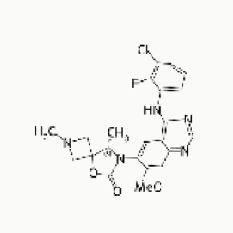 COc1cc2ncnc(Nc3cccc(Cl)c3F)c2cc1N1C(=O)OC2(CN(C)C2)[C@@H]1C